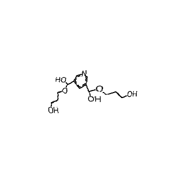 OCCCOC(O)c1cncc(C(O)OCCCO)c1